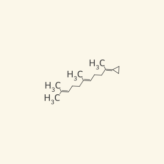 CC(C)=CCC/C(C)=C/CCC(C)=C1CC1